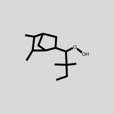 CCC(C)(C)C(OO)C1CC2CC1C(C)C2C